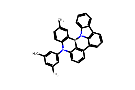 Cc1cc(C)cc(N2c3ccc(C)cc3B3c4c(cccc42)-c2cccc4c5ccccc5n3c24)c1